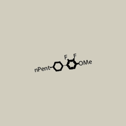 CCCCC[C@H]1CC[C@H](c2ccc(OC)c(F)c2F)CC1